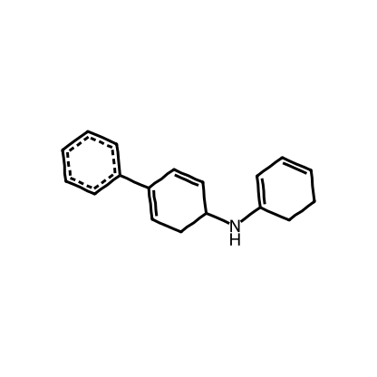 C1=CCCC(NC2C=CC(c3ccccc3)=CC2)=C1